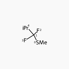 CSC(F)(F)C(C)C